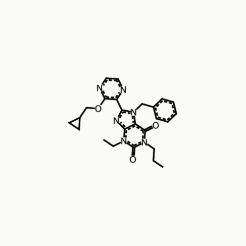 CCCn1c(=O)c2c(nc(-c3nccnc3OCC3CC3)n2Cc2ccccc2)n(CC)c1=O